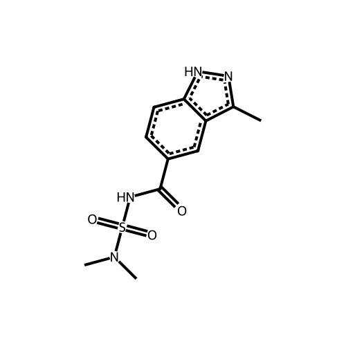 Cc1n[nH]c2ccc(C(=O)NS(=O)(=O)N(C)C)cc12